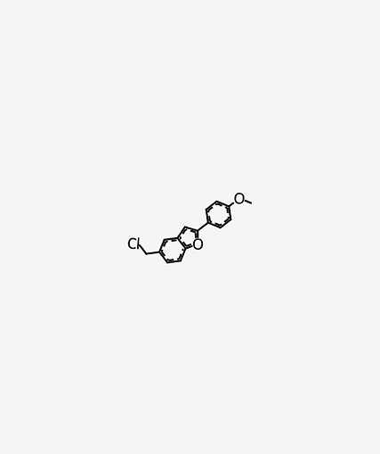 COc1ccc(-c2cc3cc(CCl)ccc3o2)cc1